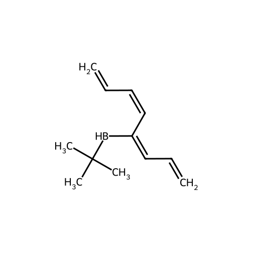 C=C/C=C\C(BC(C)(C)C)=C/C=C